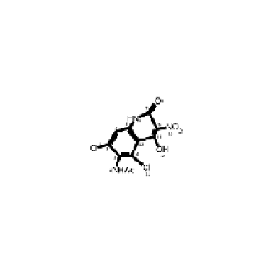 CC(=O)Nc1c(Cl)cc2[nH]c(=O)c([N+](=O)[O-])c(O)c2c1Cl